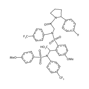 COc1ccc(S(=O)(=O)N(c2ccc(C(F)(F)F)cc2)C(C(=O)O)c2cc(OC)ccc2S(=O)(=O)N(CC(=O)N2CCCC2c2ccc(F)cc2)c2ccc(C(F)(F)F)cc2)cc1